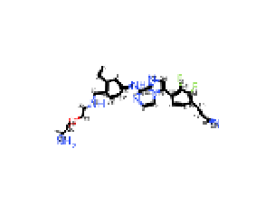 CCc1cc(Nc2nccn3c(-c4ccc(CCC#N)c(F)c4F)cnc23)ccc1CNCCOCCN